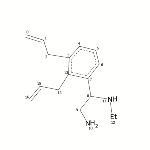 C=CCc1cccc(C(CN)NCC)c1CC=C